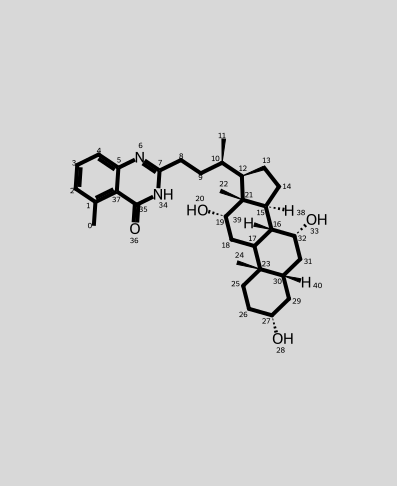 Cc1cccc2nc(CC[C@@H](C)[C@H]3CC[C@H]4[C@H]5C(C[C@H](O)[C@]34C)[C@@]3(C)CC[C@@H](O)C[C@H]3C[C@H]5O)[nH]c(=O)c12